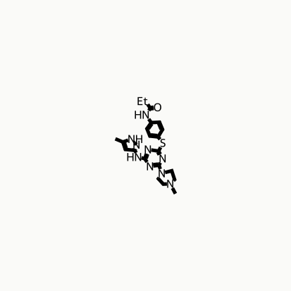 CCC(=O)Nc1ccc(Sc2nc(Nc3cc(C)[nH]n3)nc(N3CCN(C)CC3)n2)cc1